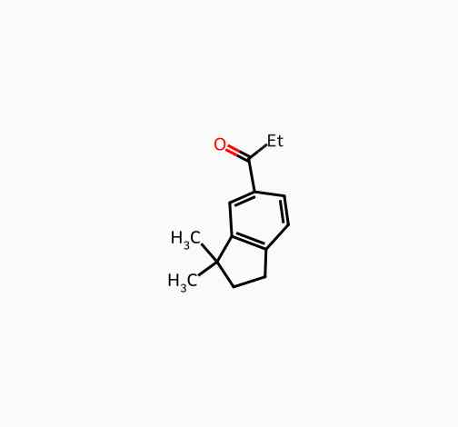 CCC(=O)c1ccc2c(c1)C(C)(C)CC2